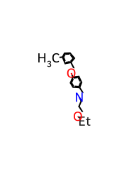 CCOCCCN=Cc1ccc(OCc2cccc(C)c2)cc1